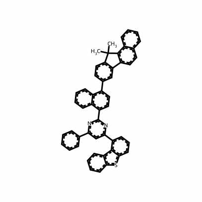 CC1(C)c2ccc(-c3ccc(-c4nc(-c5ccccc5)cc(-c5cccc6sc7ccccc7c56)n4)c4ccccc34)cc2-c2ccc3ccccc3c21